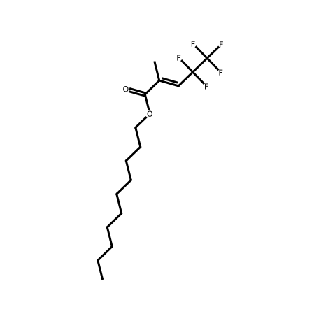 CCCCCCCCCCOC(=O)C(C)=CC(F)(F)C(F)(F)F